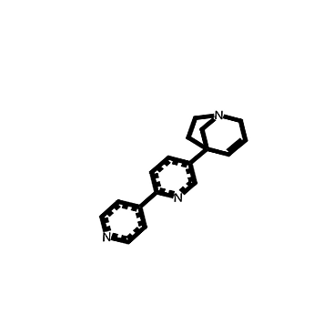 C1=CC2(c3ccc(-c4ccncc4)nc3)CCN(C1)C2